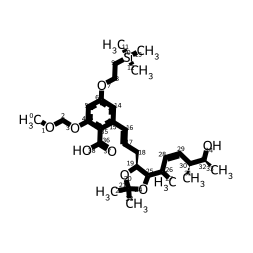 COCOc1cc(OCC[Si](C)(C)C)cc(/C=C/C[C@@H]2OC(C)(C)OC2C(C)/C=C\[C@@H](C)[C@H](C)O)c1C(=O)O